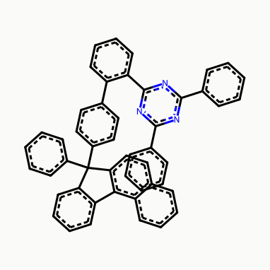 c1ccc(-c2nc(-c3ccccc3)nc(-c3ccccc3-c3ccc(C4(c5ccccc5)c5ccccc5-c5c4ccc4ccccc54)cc3)n2)cc1